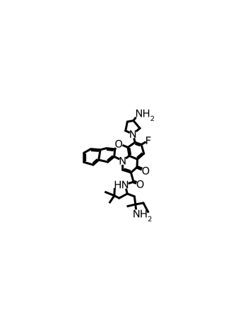 CCC(C)(N)CC(CC(C)(C)C)NC(=O)c1cn2c3c(c(N4CCC(N)C4)c(F)cc3c1=O)Oc1cc3ccccc3cc1-2